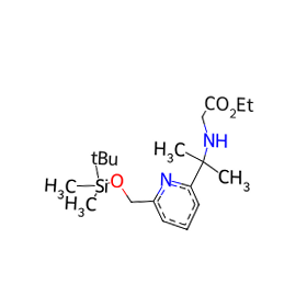 CCOC(=O)CNC(C)(C)c1cccc(CO[Si](C)(C)C(C)(C)C)n1